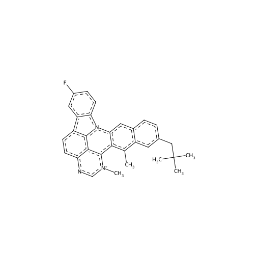 Cc1c2cc(CC(C)(C)C)ccc2cc2c1c1c3c(ccc4c5cc(F)ccc5n2c43)nc[n+]1C